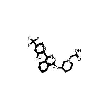 O=C(O)CN1CCCC(Nc2nnc(-c3ncc(C(F)(F)F)cc3O)c3ccccc23)C1